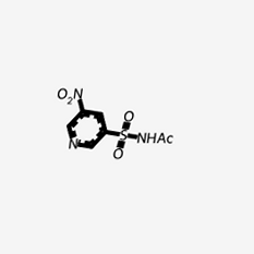 CC(=O)NS(=O)(=O)c1cncc([N+](=O)[O-])c1